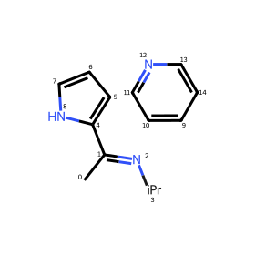 CC(=NC(C)C)c1ccc[nH]1.c1ccncc1